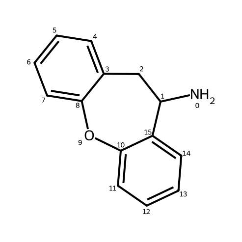 NC1Cc2ccccc2Oc2ccccc21